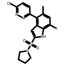 Cc1cc(F)c2[nH]c(S(=O)(=O)N3CCCC3)cc2c1-c1ccc(Cl)nn1